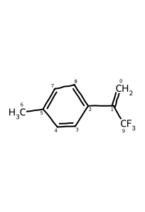 C=C(c1ccc(C)cc1)C(F)(F)F